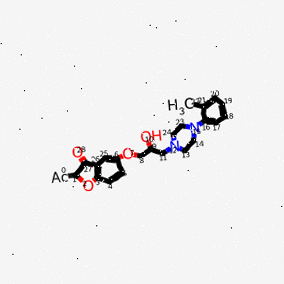 CC(=O)C1Oc2ccc(OCC(O)CN3CCN(c4ccccc4C)CC3)cc2C1=O